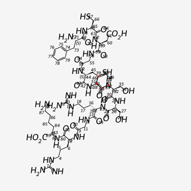 N=C(N)NCCC[C@H](NC(=O)CNC(=O)[C@H](CCCNC(=N)N)NC(=O)[C@H](CO)NC(=O)[C@H](CO)NC(=O)[C@H](CS)NC(=O)[C@H](Cc1ccccc1)NC(=O)CNC(=O)[C@H](CC(=O)O)NC(=O)[C@H](CS)NC(=O)[C@@H](N)Cc1ccccc1)C(=O)N[C@@H](CCCCN)C(=O)O